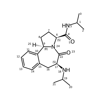 CC(C)NC(=O)[C@@H]1CC[C@@H]2c3ccccc3C[C@H](NC(C)C)C(=O)N21